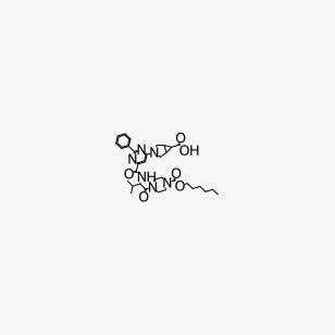 CCCCCCOC(=O)N1CCN(C(=O)[C@@H](NC(=O)c2cc(N3CC4C(C3)C4C(=O)O)nc(-c3ccccc3)n2)C(C)C)CC1